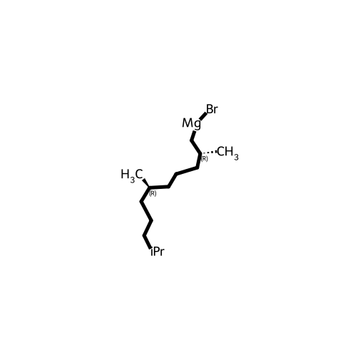 CC(C)CCC[C@@H](C)CCC[C@@H](C)[CH2][Mg][Br]